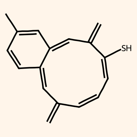 C=c1cccc(S)c(=C)cc2cc(C)ccc2c1